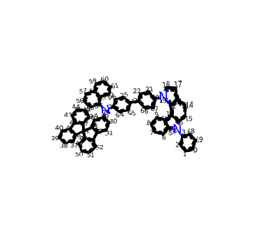 c1ccc(-n2c3ccccc3c3c4c(ccc32)ccn4-c2ccc(-c3ccc(N(c4ccc5c(c4)C4(c6ccccc6-c6ccccc64)c4ccccc4-5)c4cccc5ccccc45)cc3)cc2)cc1